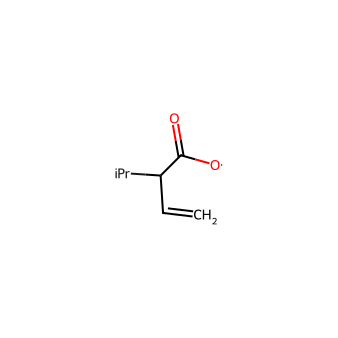 C=CC(C([O])=O)C(C)C